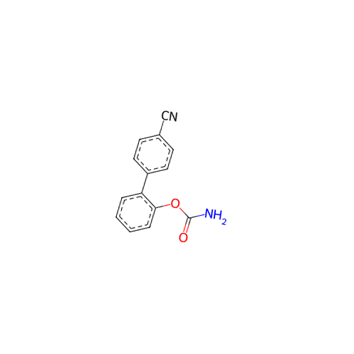 N#Cc1ccc(-c2ccccc2OC(N)=O)cc1